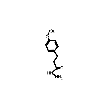 CC(C)(C)Oc1ccc(CCC(=O)NN)cc1